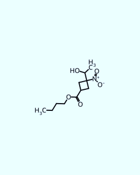 CCCCOC(=O)C1CC(C(C)O)([N+](=O)[O-])C1